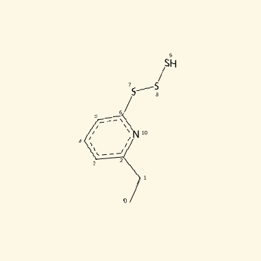 CCc1cccc(SSS)n1